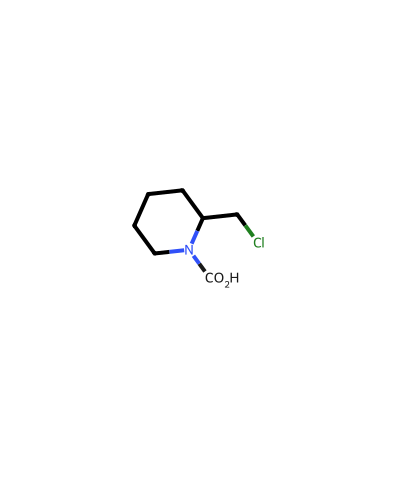 O=C(O)N1CCCCC1CCl